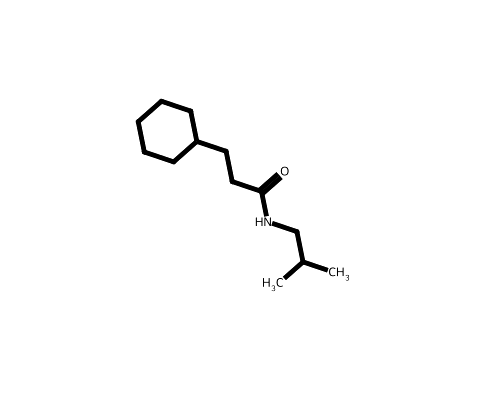 CC(C)CNC(=O)CCC1CCCCC1